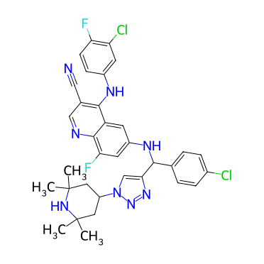 CC1(C)CC(n2cc(C(Nc3cc(F)c4ncc(C#N)c(Nc5ccc(F)c(Cl)c5)c4c3)c3ccc(Cl)cc3)nn2)CC(C)(C)N1